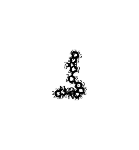 CC1(C)c2cc(-c3cccc(-c4ccc5ccc6ccc7nc(-c8cnc9ccccc9c8)oc7c6c5c4)c3)ccc2-c2cc3ccccc3cc21